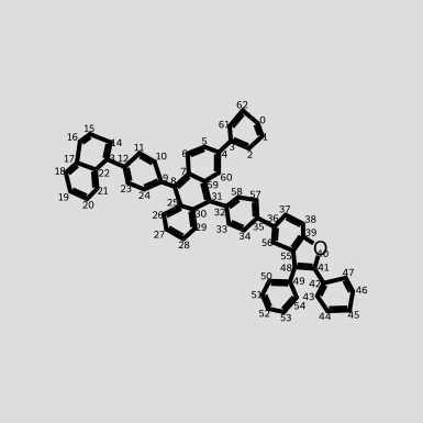 c1ccc(-c2ccc3c(-c4ccc(-c5cccc6ccccc56)cc4)c4ccccc4c(-c4ccc(-c5ccc6oc(-c7ccccc7)c(-c7ccccc7)c6c5)cc4)c3c2)cc1